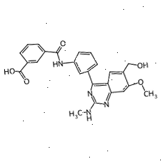 CNc1nc(-c2cccc(NC(=O)c3cccc(C(=O)O)c3)c2)c2cc(CO)c(OC)cc2n1